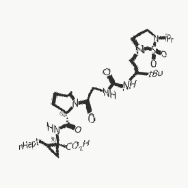 CCCCCCCC1C[C@]1(NC(=O)[C@@H]1CCCN1C(=O)CNC(=O)NC(CN1CCN(C(C)C)S1(=O)=O)C(C)(C)C)C(=O)O